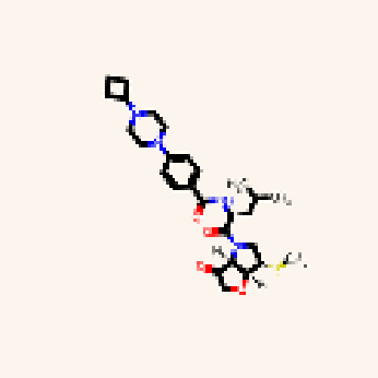 CS[C@H]1CN(C(=O)[C@H](CC(C)C)NC(=O)c2ccc(N3CCN(C4CCC4)CC3)cc2)[C@@H]2C(=O)CO[C@H]12